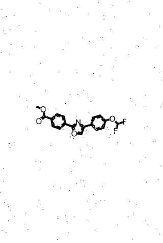 COC(=O)c1ccc(-c2nc(-c3ccc(OC(F)F)cc3)co2)cc1